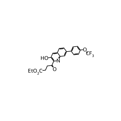 CCOC(=O)CCC(=O)c1nc2cc(-c3ccc(OC(F)(F)F)cc3)ccc2cc1O